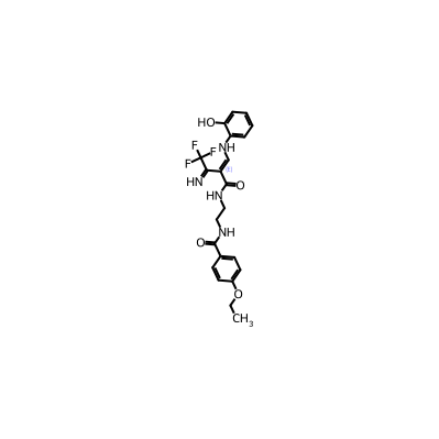 CCOc1ccc(C(=O)NCCNC(=O)/C(=C/Nc2ccccc2O)C(=N)C(F)(F)F)cc1